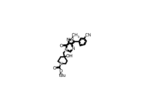 Cn1nc2c(=O)n(CC3(O)CCN(C(=O)OC(C)(C)C)CC3)cnc2c1-c1cccc(C#N)c1